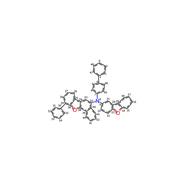 c1ccc(-c2ccc(N(c3ccc4oc5ccccc5c4c3)c3cc4c5cccc(-c6ccccc6)c5oc4c4ccccc34)cc2)cc1